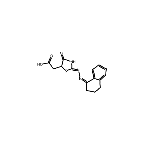 O=C(O)CC1S/C(=N\N=C2\CCCc3ccccc32)NC1=O